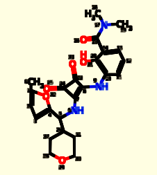 Cc1ccc(C(Nc2c(Nc3cccc(C(=O)N(C)C)c3O)c(=O)c2=O)C2CCOCC2)o1